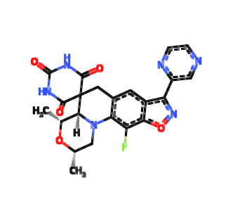 C[C@H]1CN2c3c(cc4c(-c5cnccn5)noc4c3F)CC3(C(=O)NC(=O)NC3=O)[C@@H]2[C@@H](C)O1